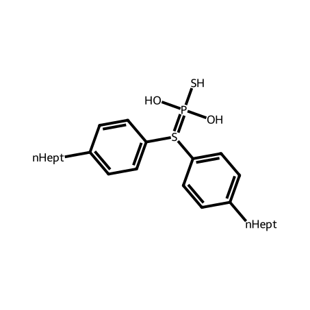 CCCCCCCc1ccc(S(c2ccc(CCCCCCC)cc2)=P(O)(O)S)cc1